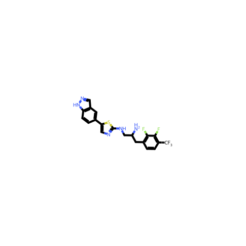 NC(CNc1ncc(-c2ccc3[nH]ncc3c2)s1)Cc1ccc(C(F)(F)F)c(F)c1F